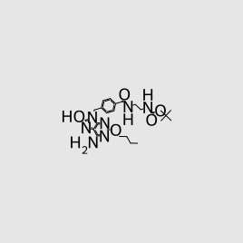 CCCCOc1nc(N)c2nc(O)n(Cc3ccc(C(=O)NCCNC(=O)OC(C)(C)C)cc3)c2n1